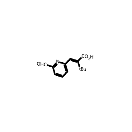 CC(C)(C)/C(=C\c1cccc(C=O)n1)C(=O)O